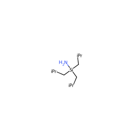 CC(C)C[Si](N)(CC(C)C)CC(C)C